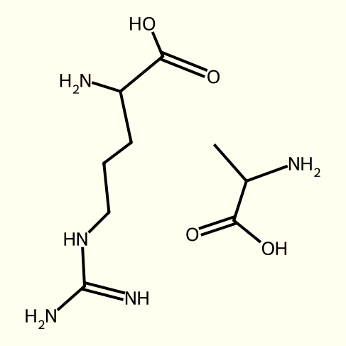 CC(N)C(=O)O.N=C(N)NCCCC(N)C(=O)O